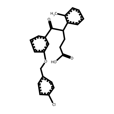 Cc1ccccc1C(CCC(=O)O)C(=O)c1cccc(OCc2ccc(Cl)cc2)c1